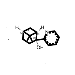 CC1(C)[C@H]2CC[C@](O)(c3ccccn3)[C@@H]1C2